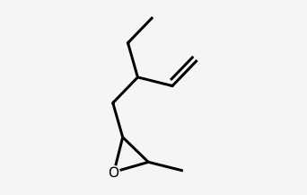 C=CC(CC)CC1OC1C